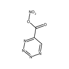 O=C(O[N+](=O)[O-])c1cnnnn1